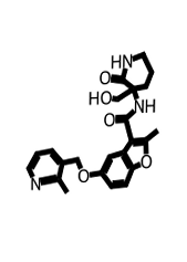 Cc1ncccc1COc1ccc2oc(C)c(C(=O)NC3(CO)CCCNC3=O)c2c1